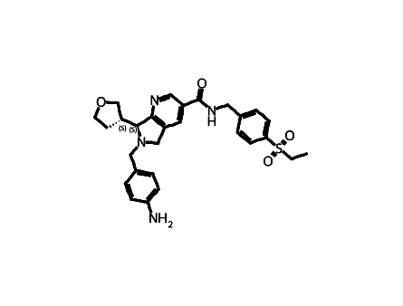 CCS(=O)(=O)c1ccc(CNC(=O)c2cnc3c(c2)CN(Cc2ccc(N)cc2)[C@H]3[C@@H]2CCOC2)cc1